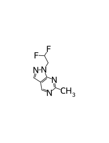 Cc1ncc2cnn(CC(F)F)c2n1